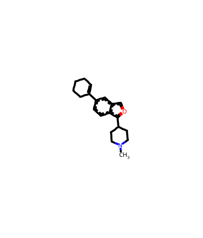 CN1CCC(c2occ3cc(C4=CCCCC4)ccc23)CC1